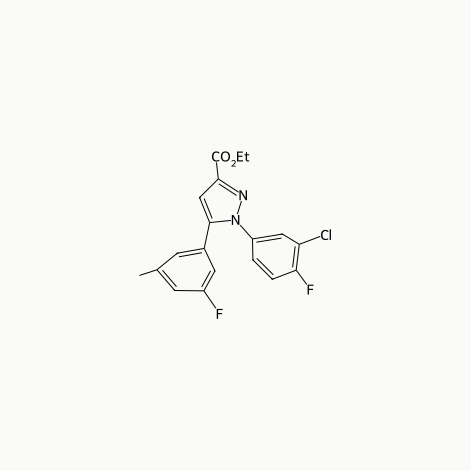 CCOC(=O)c1cc(-c2cc(C)cc(F)c2)n(-c2ccc(F)c(Cl)c2)n1